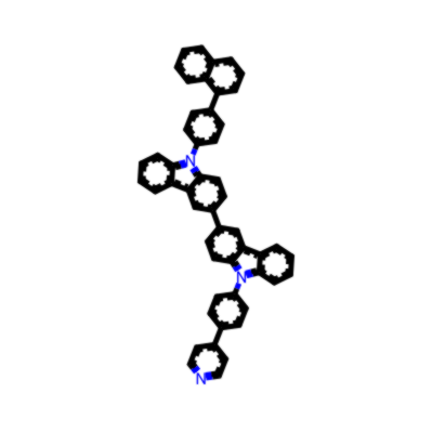 c1ccc2c(-c3ccc(-n4c5ccccc5c5cc(-c6ccc7c(c6)c6ccccc6n7-c6ccc(-c7ccncc7)cc6)ccc54)cc3)cccc2c1